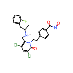 CC(Cc1ccccc1F)N(C)Cc1c(Cl)cc(Cl)c(=O)n1CCc1ccc(C(=O)N=O)cc1